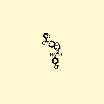 O=C(Nc1ccc(C(F)(F)F)cc1)N1CCOC2(CCN(C(=O)c3ccco3)CC2)C1